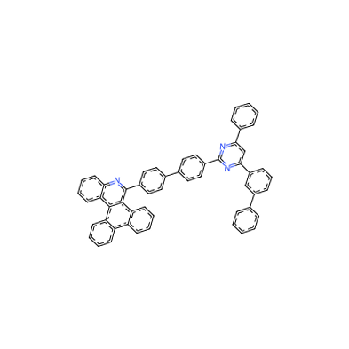 c1ccc(-c2cccc(-c3cc(-c4ccccc4)nc(-c4ccc(-c5ccc(-c6nc7ccccc7c7c8ccccc8c8ccccc8c67)cc5)cc4)n3)c2)cc1